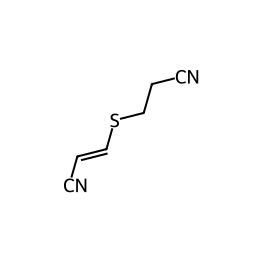 N#CC=CSCCC#N